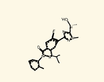 Cc1ccccc1-n1nc(C(C)C)c2cc(-c3nc([C@@H](C)O)n(C)n3)c(F)cc2c1=O